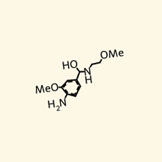 COCCNC(O)c1ccc(N)c(OC)c1